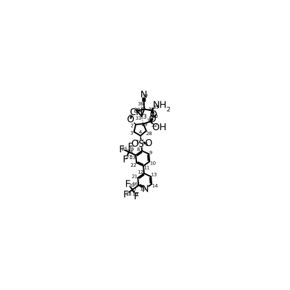 CO[C@@H]1C[C@H](S(=O)(=O)c2ccc(-c3ccnc(C(F)(F)F)c3)cc2C(F)(F)F)C[C@@]1(C(=O)O)C1CC1(C#N)C(N)=O